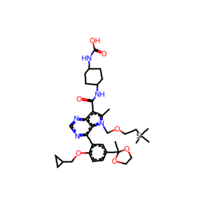 Cc1c(C(=O)NC2CCC(NC(=O)O)CC2)c2ncnc(-c3cc(C4(C)OCCO4)ccc3OCC3CC3)c2n1COCC[Si](C)(C)C